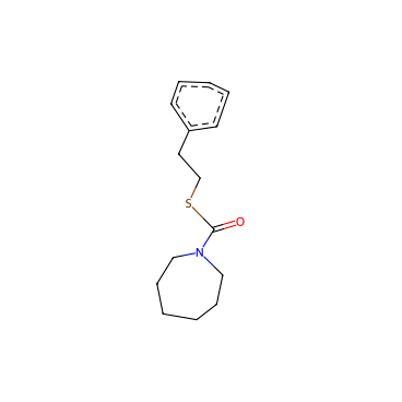 O=C(SCCc1ccccc1)N1CCCCCC1